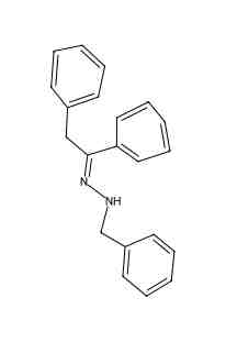 c1ccc(CNN=C(Cc2ccccc2)c2ccccc2)cc1